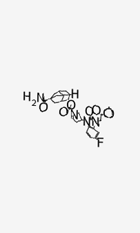 COC(=O)Cn1c(=O)n([C@H]2CCN(C(=O)OC3C4CC5C[C@H]3C[C@@](C(N)=O)(C5)C4)C2)c2ccc(F)cc21